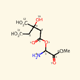 COC(=O)C(N)OC(=O)CC(O)(CC(=O)O)C(=O)O